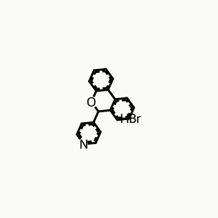 Br.c1ccc2c(c1)OC(c1ccncc1)c1ccccc1-2